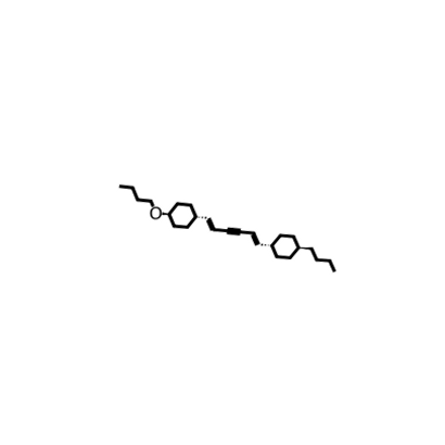 CCCCO[C@H]1CC[C@H](C=CC#CC=C[C@H]2CC[C@H](CCCC)CC2)CC1